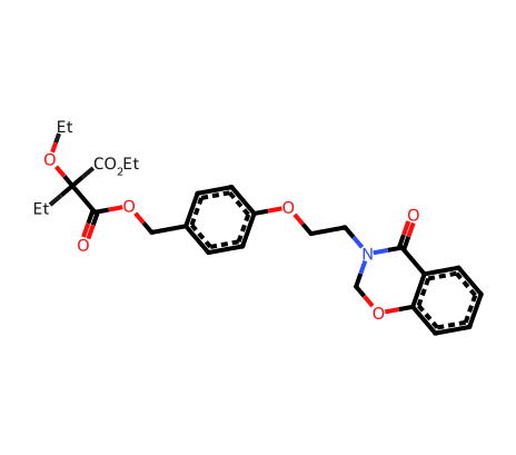 CCOC(=O)C(CC)(OCC)C(=O)OCc1ccc(OCCN2COc3ccccc3C2=O)cc1